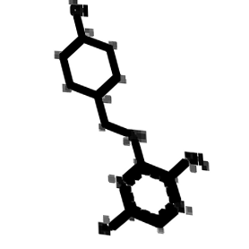 Nc1ncc(Br)nc1NCC1CCC(O)CC1